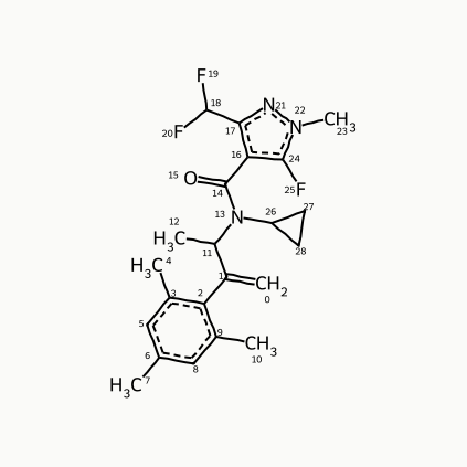 C=C(c1c(C)cc(C)cc1C)C(C)N(C(=O)c1c(C(F)F)nn(C)c1F)C1CC1